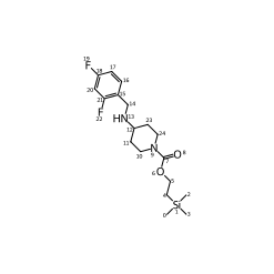 C[Si](C)(C)CCOC(=O)N1CCC(NCc2ccc(F)cc2F)CC1